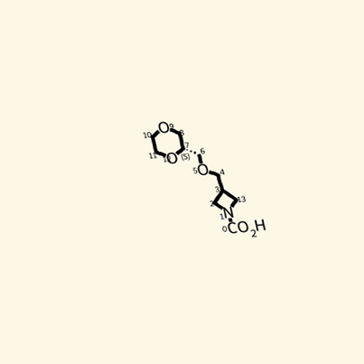 O=C(O)N1CC(COC[C@H]2COCCO2)C1